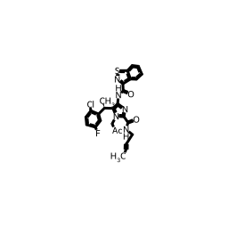 CC#CCNC(=O)c1nc(NC(=O)c2nsc3ccccc23)c([C@@H](C)c2cc(F)ccc2Cl)n1CC(C)=O